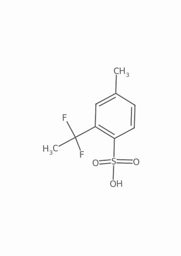 Cc1ccc(S(=O)(=O)O)c(C(C)(F)F)c1